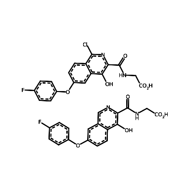 O=C(O)CNC(=O)c1nc(Cl)c2ccc(Oc3ccc(F)cc3)cc2c1O.O=C(O)CNC(=O)c1ncc2cc(Oc3ccc(F)cc3)ccc2c1O